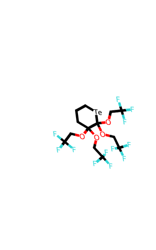 FC(F)(F)COC1(OCC(F)(F)F)CCC[Te]C1(OCC(F)(F)F)OCC(F)(F)F